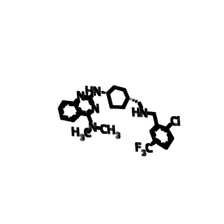 CN(C)c1nc(N[C@H]2CC[C@@H](CNCc3cc(C(F)(F)F)ccc3Cl)CC2)nc2ccccc12